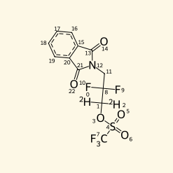 [2H]C([2H])(OS(=O)(=O)C(F)(F)F)C(F)(F)CN1C(=O)c2ccccc2C1=O